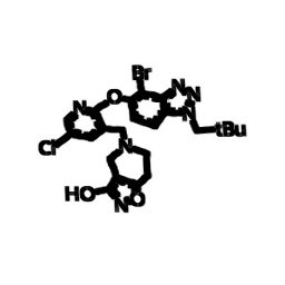 CC(C)(C)Cn1nnc2c(Br)c(Oc3ncc(Cl)cc3CN3CCc4onc(O)c4C3)ccc21